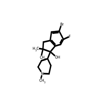 CN1CCC(C2(O)c3cc(F)c(Br)cc3CC2(C)C)CC1